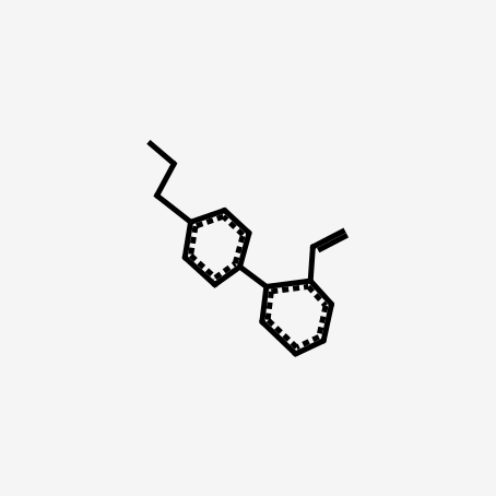 C=Cc1ccccc1-c1ccc(CCC)cc1